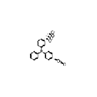 [C]=O.[C]=O.[C]=O.[C]=O.[C]=O.[Cr].c1ccc(P(c2ccccc2)c2ccccc2)cc1